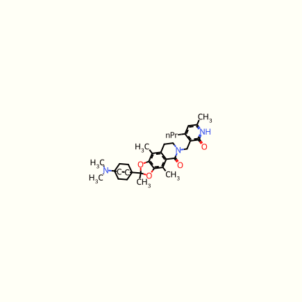 CCCc1cc(C)[nH]c(=O)c1CN1CCc2c(C)c3c(c(C)c2C1=O)OC(C)(C12CCC(N(C)C)(CC1)CC2)O3